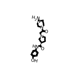 NN1CCN(C(=O)CN2CC[C@@H](C(=O)Nc3ccc(O)cc3)C2)CC1